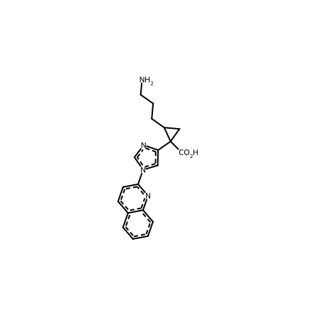 NCCCC1CC1(C(=O)O)c1cn(-c2ccc3ccccc3n2)cn1